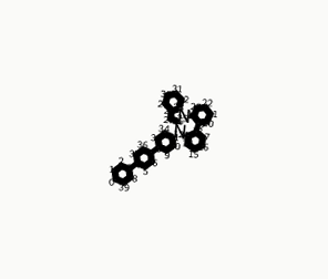 c1ccc(-c2ccc(-c3ccc(N4c5ccccc5-c5ccccc5-n5c4cc4ccccc45)cc3)cc2)cc1